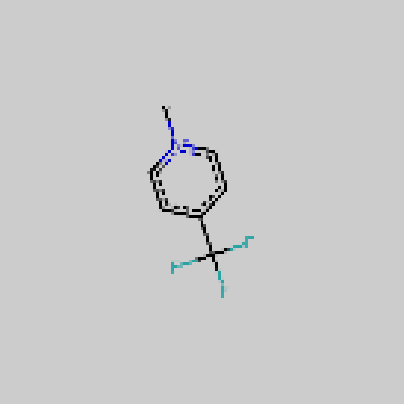 [CH2][n+]1ccc(C(F)(F)F)cc1